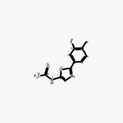 Cc1ccc(-c2ncc(NC(=O)C(F)(F)F)o2)cc1F